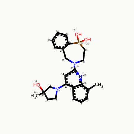 Cc1cccc2c(N3CCC(C)(O)C3)cc(N3CCS(O)(O)c4ccccc4C3)nc12